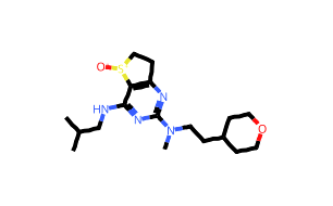 CC(C)CNc1nc(N(C)CCC2CCOCC2)nc2c1[S+]([O-])CC2